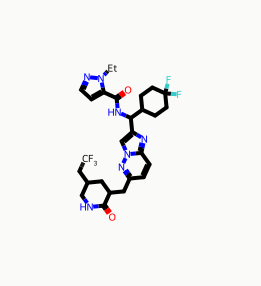 CCn1nccc1C(=O)NC(c1cn2nc(CC3CC(CC(F)(F)F)CNC3=O)ccc2n1)C1CCC(F)(F)CC1